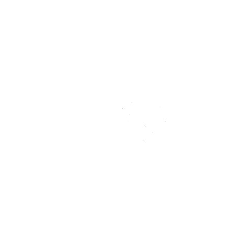 O=C(CC1c2c(F)cccc2-c2cncn21)C1(O)CCC(c2ccc3c(c2)OCO3)CC1